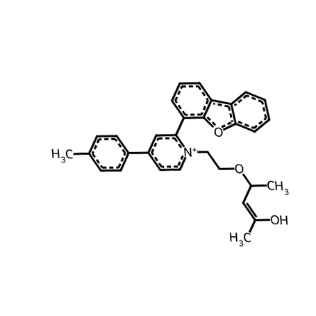 C/C(O)=C/C(C)OCC[n+]1ccc(-c2ccc(C)cc2)cc1-c1cccc2c1oc1ccccc12